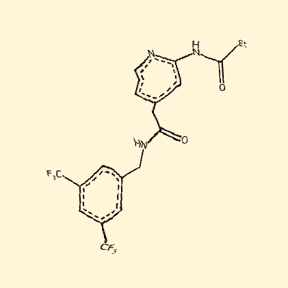 CCC(=O)Nc1cc(C(=O)NCc2cc(C(F)(F)F)cc(C(F)(F)F)c2)ccn1